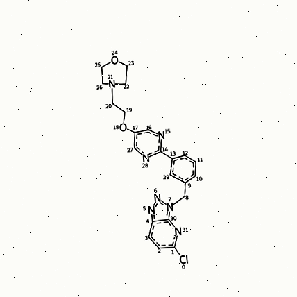 Clc1ccc2nnn(Cc3cccc(-c4ncc(OCCN5CCOCC5)cn4)c3)c2n1